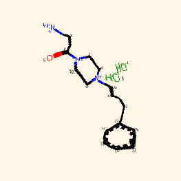 Cl.Cl.NCC(=O)N1CCN(CCCc2ccccc2)CC1